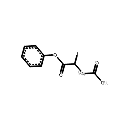 O=C(O)NC(I)C(=O)Oc1ccccc1